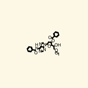 O=C(Nc1ncnc2c1ncn2[C@H]1C[C@@H](OC(=O)c2ccccc2)C(C(O)COOI)O1)c1ccccc1